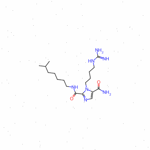 CC(C)CCCCCNC(=O)c1ncc(C(N)=O)n1CCCCNC(=N)N